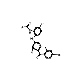 CCCCc1ccc(C(=O)c2ccc(Nc3ccc(Br)cc3NC(=O)C(F)(F)F)cc2Cl)c(C)c1